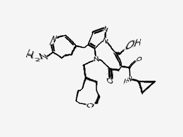 NC1=NC=C(c2cnn3c(O)c(C(=O)NC4CC4)c(=O)n(CC4CCOCC4)c23)CC1